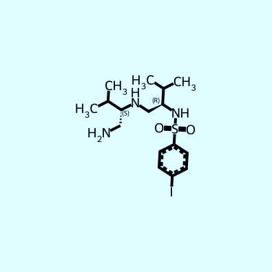 CC(C)[C@H](CN[C@H](CN)C(C)C)NS(=O)(=O)c1ccc(I)cc1